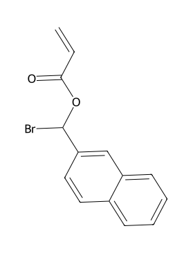 C=CC(=O)OC(Br)c1ccc2ccccc2c1